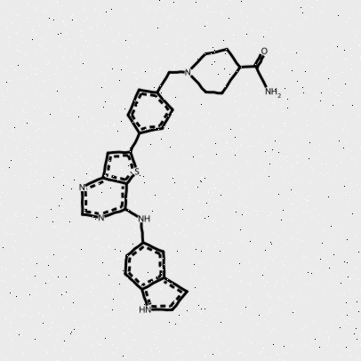 NC(=O)C1CCN(Cc2ccc(-c3cc4ncnc(Nc5ccc6[nH]ccc6c5)c4s3)cc2)CC1